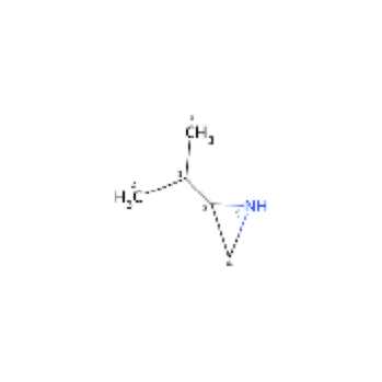 CC(C)C1CN1